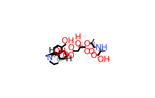 C[C@H](NC(=O)[C@H](C)OC(=O)[C@@H](O)CC(=O)OC1=CC[C@@]2(O)[C@H]3Cc4ccc(CO)c5c4[C@@]2(CCCN3C)[C@H]1O5)C(=O)O